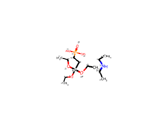 CCNCC.CCO[Si](CCP(=O)(O)O)(OCC)OCC